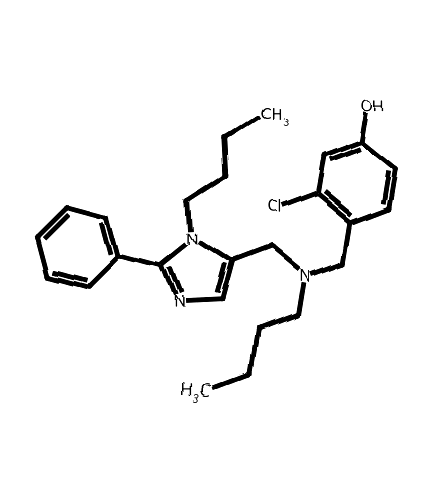 CCCCN(Cc1ccc(O)cc1Cl)Cc1cnc(-c2ccccc2)n1CCCC